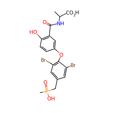 CC(NC(=O)c1cc(Oc2c(Br)cc(CP(C)(=O)O)cc2Br)ccc1O)C(=O)O